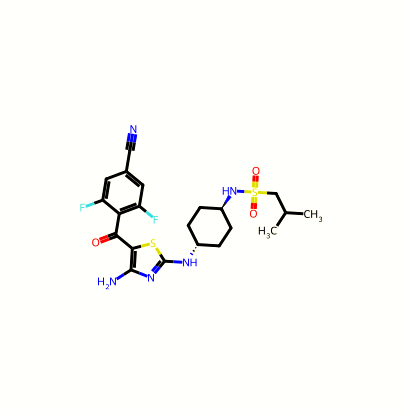 CC(C)CS(=O)(=O)N[C@H]1CC[C@H](Nc2nc(N)c(C(=O)c3c(F)cc(C#N)cc3F)s2)CC1